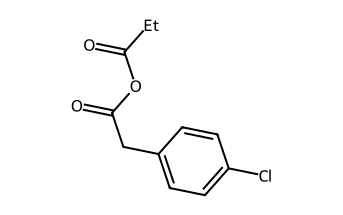 [CH2]CC(=O)OC(=O)Cc1ccc(Cl)cc1